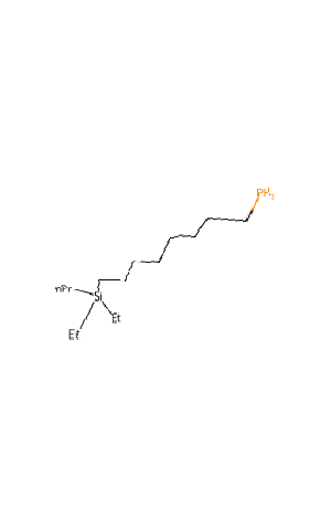 CCC[Si](CC)(CC)CCCCCCCCP